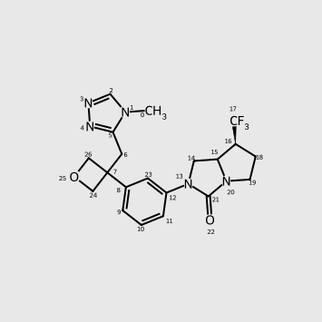 Cn1cnnc1CC1(c2cccc(N3CC4[C@@H](C(F)(F)F)CCN4C3=O)c2)COC1